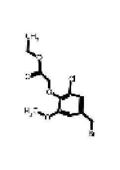 CCOC(=O)COc1c(Cl)cc(CBr)cc1OC